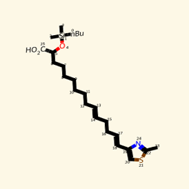 CCCC[Si](C)(C)OC(CCCCCCCC=CCCC=Cc1csc(C)n1)C(=O)O